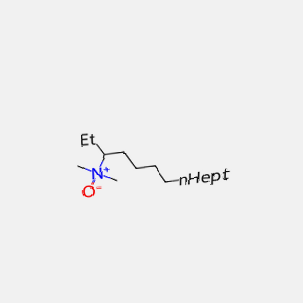 CCCCCCCCCCCC(CC)[N+](C)(C)[O-]